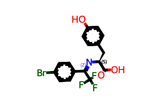 O=C(O)[C@H](Cc1ccc(O)cc1)/N=C(/c1ccc(Br)cc1)C(F)(F)F